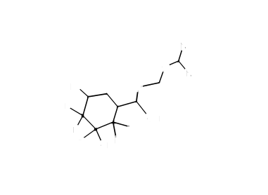 CCC1CC(C(O)OCOC(N)N)C(F)(F)C(C)(F)C1(F)F